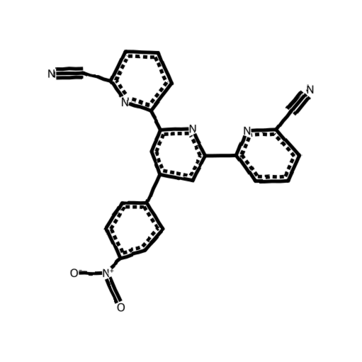 N#Cc1cccc(-c2cc(-c3ccc([N+](=O)[O-])cc3)cc(-c3cccc(C#N)n3)n2)n1